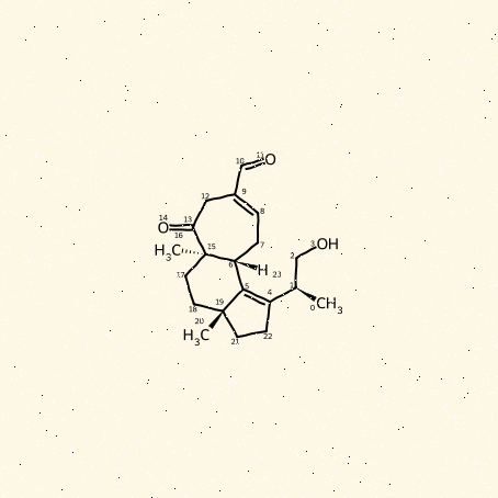 C[C@H](CO)C1=C2[C@H]3CC=C(C=O)CC(=O)[C@]3(C)CC[C@@]2(C)CC1